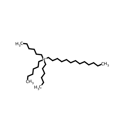 CCCCCCCCCCCCC[N+](CCCCCC)(CCCCCC)CCCCCC